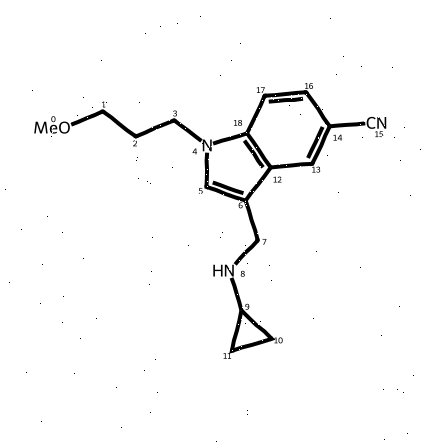 COCCCn1cc(CNC2CC2)c2cc(C#N)ccc21